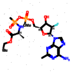 COP(=O)(OC[C@H]1O[C@@H](n2cnc3c(N)nc(C)nc32)[C@H](F)C1O)OP(C)(=O)N[C@H](C)C(=O)OCC(C)(C)C